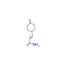 C=C(N)/C=C/C1CCC(=C)CC1